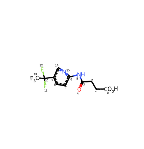 O=C(O)CCC(=O)Nc1ccc(C(F)(F)C(F)(F)F)cn1